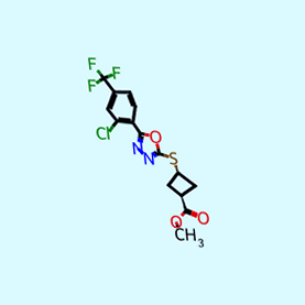 COC(=O)[C@H]1C[C@@H](Sc2nnc(-c3ccc(C(F)(F)F)cc3Cl)o2)C1